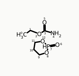 CCOC(N)=O.O=[PH]1OCCCO1